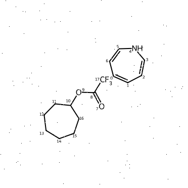 C1=CC=CNC=C1.O=C(OC1CCCCCC1)C(F)(F)F